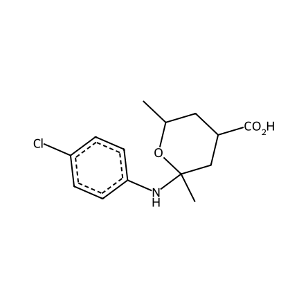 CC1CC(C(=O)O)CC(C)(Nc2ccc(Cl)cc2)O1